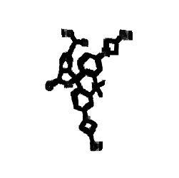 C[Si]1(C)c2cc(N3CC(O)C3)ccc2C2(OC(=O)c3ccc(C(=O)O)cc32)c2ccc(N3CC(O)C3)cc21